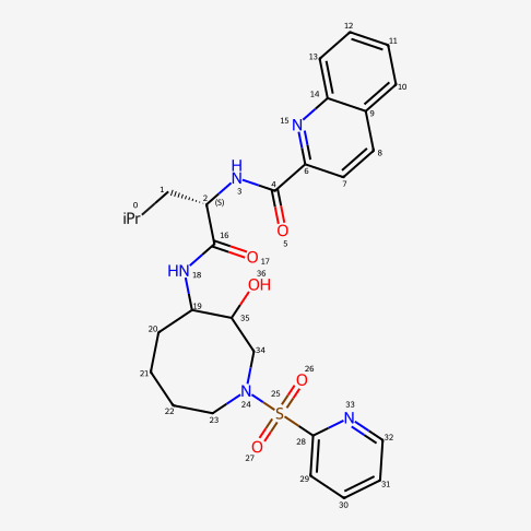 CC(C)C[C@H](NC(=O)c1ccc2ccccc2n1)C(=O)NC1CCCCN(S(=O)(=O)c2ccccn2)CC1O